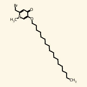 CCCCCCCCCCCCCCCCCCOc1cn(C)c(CBr)cc1=O